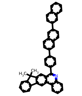 CC1(C)c2ccccc2-c2cc3c(cc21)c(-c1ccc(-c2ccc4cc(-c5ccc6ccccc6c5)ccc4c2)cc1)nc1ccccc13